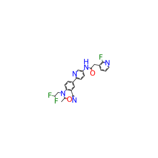 CC(=O)N(CC(F)F)c1ccc(-c2ccc(NC(=O)Cc3cccnc3F)cn2)cc1C#N